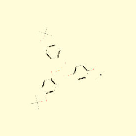 CC(C)(C)Oc1ccc(OP(Oc2ccc(OC(C)(C)C)cc2)Oc2ccc(OC(C)(C)C)cc2)cc1